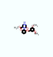 COC(=O)C1CNCC(=O)N1c1ccccc1OCc1cc(OC)cc(OC)c1